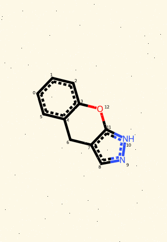 c1ccc2c(c1)Cc1cn[nH]c1O2